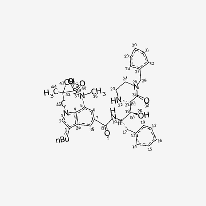 CCCCc1cn2c3c(cc(C(=O)N[C@@H](Cc4ccccc4)[C@H](O)[C@@H]4NCCN(Cc5ccccc5)C4=O)cc13)N(C)S(=O)(=O)C(C)(C)C2